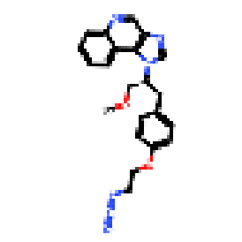 CCOC[C@H](Cc1ccc(OCCN=[N+]=[N-])cc1)n1cnc2cnc3ccccc3c21